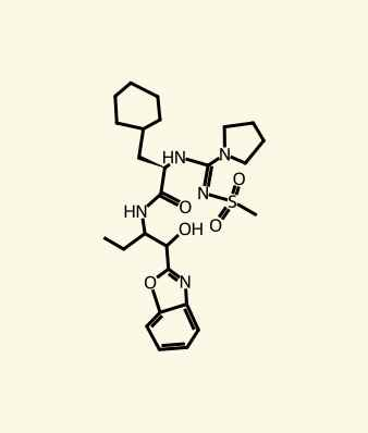 CCC(NC(=O)[C@@H](CC1CCCCC1)NC(=NS(C)(=O)=O)N1CCCC1)C(O)c1nc2ccccc2o1